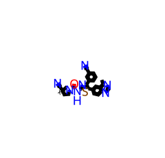 Cc1ncnc2ccc(-c3sc(NC(=O)N4CC[C@@](C)(C#N)C4)nc3-c3cccc(C#N)c3)cc12